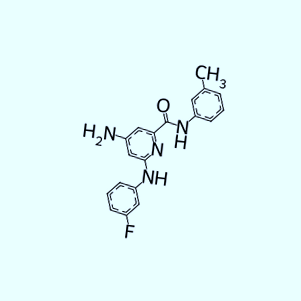 Cc1cccc(NC(=O)c2cc(N)cc(Nc3cccc(F)c3)n2)c1